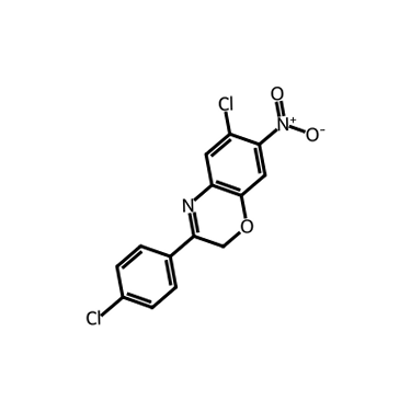 O=[N+]([O-])c1cc2c(cc1Cl)N=C(c1ccc(Cl)cc1)CO2